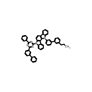 CCCc1cccc(-c2cccc(-n3c4ccccc4c4ccc5c(c6ccccc6n5-c5nc(-c6ccccc6)nc(-c6cccc(-c7ccccc7)c6)n5)c43)c2)c1